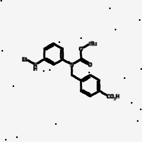 CCNc1cccc(N(Cc2ccc(C(=O)O)cc2)C(=O)OC(C)(C)C)c1